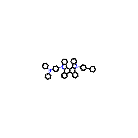 c1ccc(-c2ccc(-n3c4ccccc4c4c5c(c6ccccc6c43)c3ccccc3c3c5c4ccccc4n3-c3ccc(N(c4ccccc4)c4ccccc4)cc3)cc2)cc1